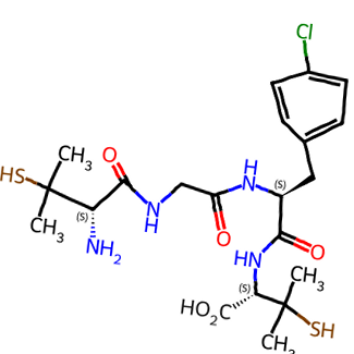 CC(C)(S)[C@@H](N)C(=O)NCC(=O)N[C@@H](Cc1ccc(Cl)cc1)C(=O)N[C@@H](C(=O)O)C(C)(C)S